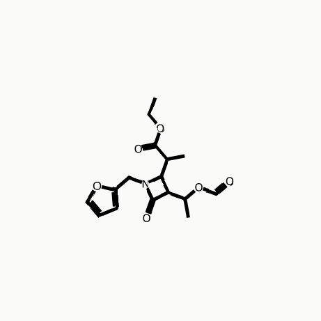 CCOC(=O)C(C)C1C(C(C)OC=O)C(=O)N1Cc1ccco1